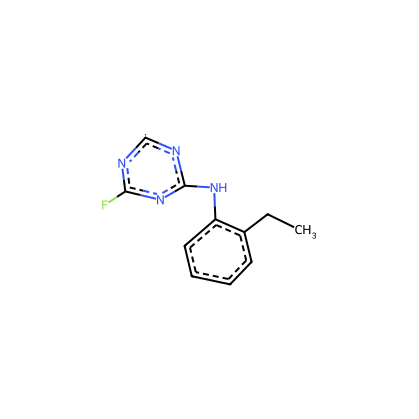 CCc1ccccc1Nc1n[c]nc(F)n1